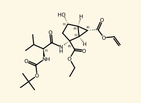 C=COC(=O)[C@H]1[C@H]2[C@@H]1[C@@](NC(=O)[C@@H](NC(=O)OC(C)(C)C)C(C)C)(C(=O)OCC)C[C@@H]2O